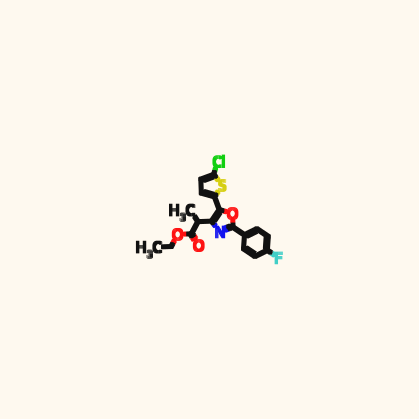 CCOC(=O)C(C)c1nc(-c2ccc(F)cc2)oc1-c1ccc(Cl)s1